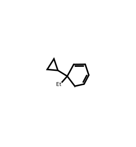 CCC1(C2CC2)[CH]C=CC=C1